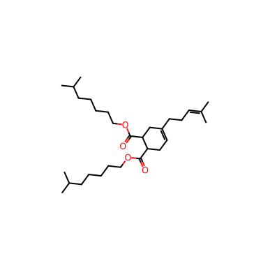 CC(C)=CCCC1=CCC(C(=O)OCCCCCC(C)C)C(C(=O)OCCCCCC(C)C)C1